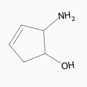 NC1C=CCC1O